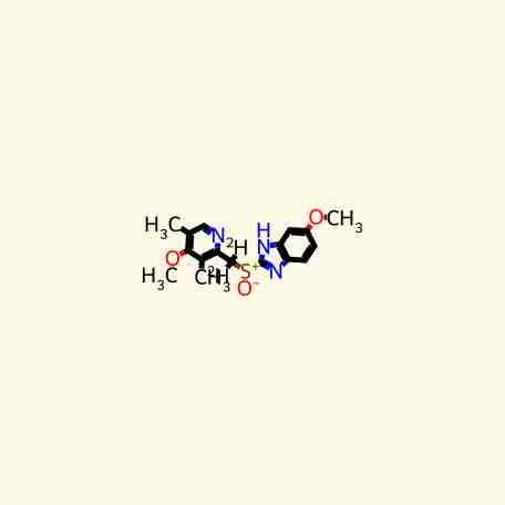 [2H]C([2H])(c1ncc(C)c(OC)c1C)[S+]([O-])c1nc2ccc(OC)cc2[nH]1